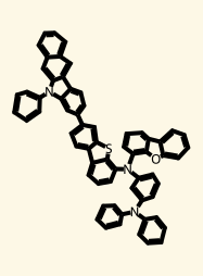 c1ccc(N(c2ccccc2)c2cccc(N(c3cccc4c3oc3ccccc34)c3cccc4c3sc3cc(-c5ccc6c7cc8ccccc8cc7n(-c7ccccc7)c6c5)ccc34)c2)cc1